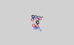 CCCCC(Cc1cccc(OC)c1)NC(=O)c1ccc(OC(N)=O)cc1